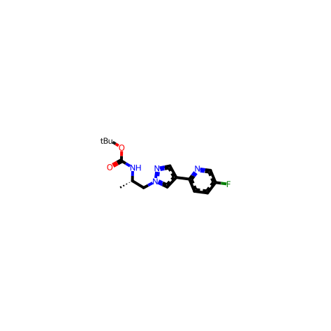 C[C@@H](Cn1cc(-c2ccc(F)cn2)cn1)NC(=O)OC(C)(C)C